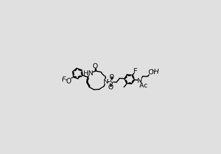 CC(=O)N(CCO)c1cc(C)c(CCS(=O)(=O)N2CCCC=C=C(c3cccc(OF)c3)NC(=O)CC2)cc1F